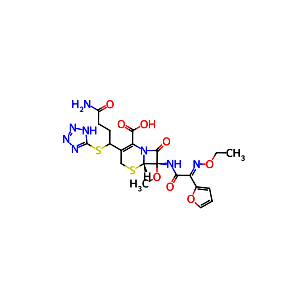 CCON=C(C(=O)N[C@]1(OC)C(=O)N2C(C(=O)O)=C(C(CCC(N)=O)Sc3nnn[nH]3)CS[C@H]21)c1ccco1